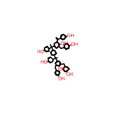 C=C(c1ccc(O)cc1)c1cc(C(C)(c2ccc(O)cc2)c2ccc(C(C)(c3cc(Cc4ccc(O)cc4)c(O)c(Cc4ccc(O)cc4)c3)C3C=CC(O)=CC3)cc2)cc(Cc2ccc(O)cc2)c1O